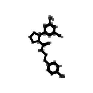 N#Cc1ccc(CCNC(=O)C2CCCN2c2cc(Cl)nc(C(F)(F)F)n2)cc1